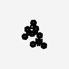 c1ccc(-c2nc(-c3ccccc3)nc(-c3cccc(-n4c5ccc6c7ccccc7oc6c5c5c6c7ccccc7n(-c7ccccc7)c6ccc54)c3)n2)cc1